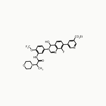 CCOC(=O)c1cncc(-c2ccc3c(c2F)N=CN(c2ccc(OC(F)(F)F)c(NC(=O)C(C)N4CCOCC4)c2)C3O)c1